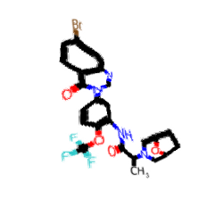 CC(C(=O)Nc1cc(-n2cnc3cc(Br)ccc3c2=O)ccc1OC(F)(F)F)N1CC2CCC(C1)O2